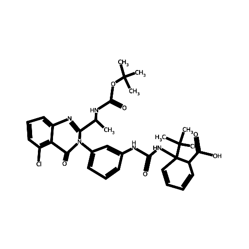 CC(NC(=O)OC(C)(C)C)c1nc2cccc(Cl)c2c(=O)n1-c1cccc(NC(=O)NC2(C(C)(C)C)C=CC=CC2C(=O)O)c1